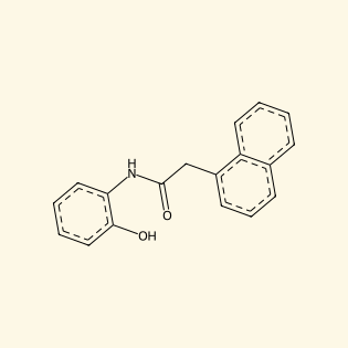 O=C(Cc1cccc2ccccc12)Nc1ccccc1O